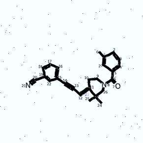 Cc1cccc(C(=O)N2CC/C(=C\C#Cc3cccc(C#N)c3)C(C)(C)C2)c1